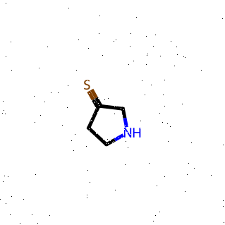 S=C1CCNC1